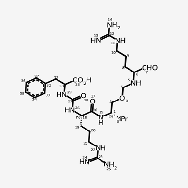 CC(C)[C@@H](COCNC(C=O)CCCNC(=N)N)NC(=O)[C@H](CCCNC(=N)N)NC(=O)NC(Cc1ccccc1)C(=O)O